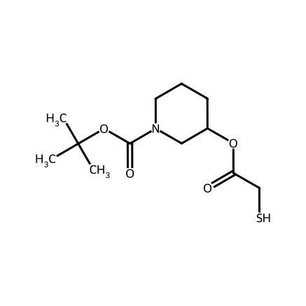 CC(C)(C)OC(=O)N1CCCC(OC(=O)CS)C1